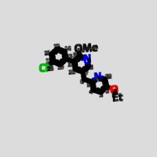 CCOc1ccc(Cc2cnc(OC)c(-c3cccc(Cl)c3)c2)nc1